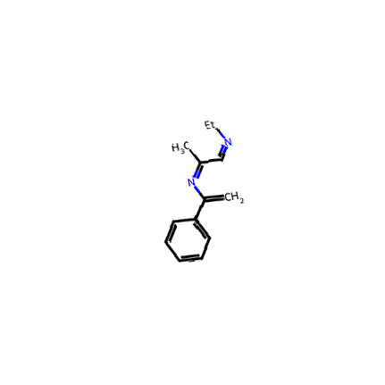 C=C(/N=C(C)\C=N/CC)c1ccccc1